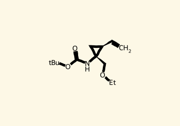 C=C[C@@H]1C[C@@]1(COCC)NC(=O)OC(C)(C)C